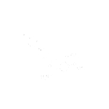 COc1ccc2c(c1OC)CC(C1CCN(c3[c]cc(F)cc3)CC1)OC2CN